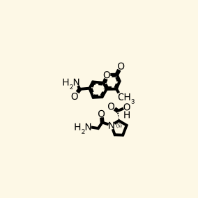 Cc1cc(=O)oc2cc(C(N)=O)ccc12.NCC(=O)N1CCC[C@H]1C(=O)O